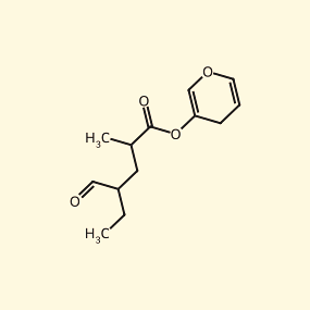 CCC(C=O)CC(C)C(=O)OC1=COC=CC1